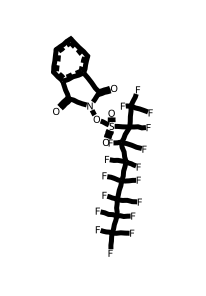 O=C1c2ccccc2C(=O)N1OS(=O)(=O)C(F)(C(F)(F)F)C(F)(F)C(F)(F)C(F)(F)C(F)(F)C(F)(F)C(F)(F)F